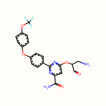 NCC(C=O)Oc1cc(C(N)=O)nc(-c2ccc(Oc3ccc(OC(F)(F)F)cc3)cc2)n1